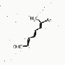 CC(=O)C(C)=CC=CC=CC=O